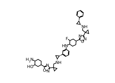 NC1CCC(c2nc(C3(CN[C@@H]4C[C@H]4c4cccc(NC5CCC(c6nc(C7(CN[C@@H]8C[C@H]8c8ccccc8)CC7)no6)CC5F)c4)CC3)no2)CC1O